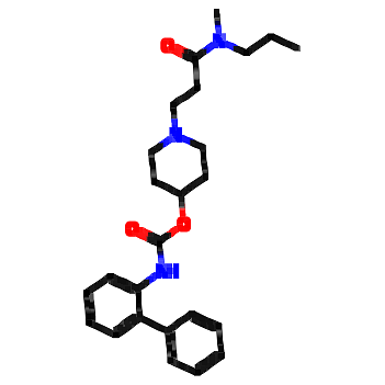 CCCN(C)C(=O)CCN1CCC(OC(=O)Nc2ccccc2-c2ccccc2)CC1